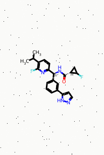 CC(C)c1ccc([C@@H](NC(=O)[C@@H]2CC2F)c2cccc(-c3ccn[nH]3)c2)nc1F